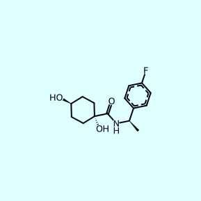 C[C@@H](NC(=O)[C@]1(O)CC[C@H](O)CC1)c1ccc(F)cc1